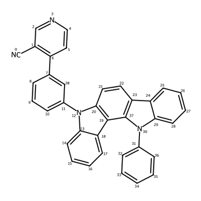 N#Cc1cnccc1-c1cccc(-n2c3ccccc3c3c2ccc2c4ccccc4n(-c4ccccc4)c23)c1